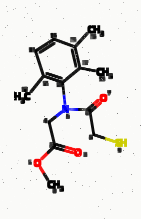 COC(=O)CN(C(=O)CS)c1c(C)ccc(C)c1C